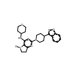 [O-][S+]1CCc2nc(N3CCC(c4noc5ccccc45)CC3)nc(NC3CCOCC3)c21